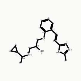 Cc1nnc(C=Cc2ccccc2OCC(O)CNC(C)C2CC2)s1